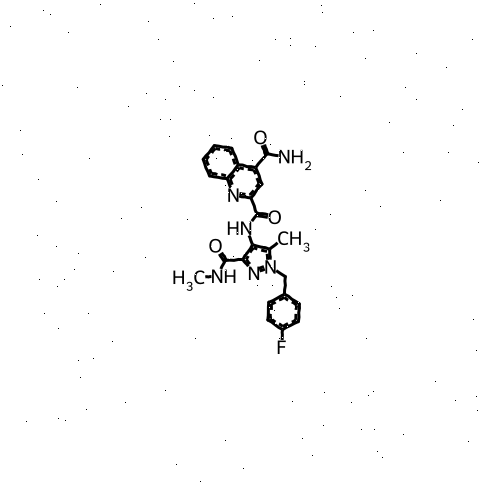 CNC(=O)c1nn(Cc2ccc(F)cc2)c(C)c1NC(=O)c1cc(C(N)=O)c2ccccc2n1